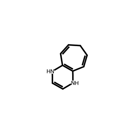 C1=CC2=C(C=CC1)NC=CN2